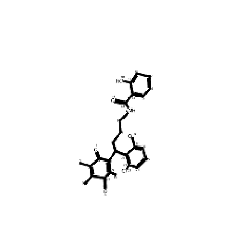 CC1=C(C)C(=O)C(C(CCCNC(=O)c2ccccc2O)c2c(Cl)cccc2Cl)=C(C)C1=O